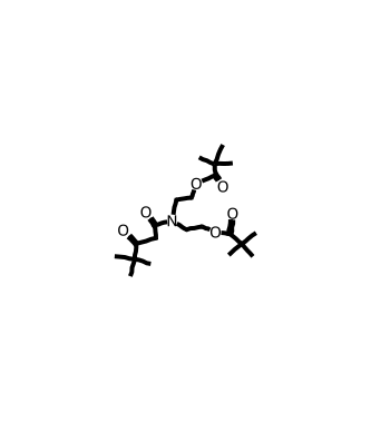 CC(C)(C)C(=O)CC(=O)N(CCOC(=O)C(C)(C)C)CCOC(=O)C(C)(C)C